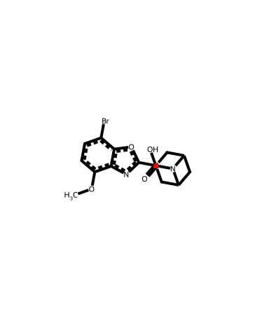 COc1ccc(Br)c2oc(N3CC4CC(C3)N4C(=O)O)nc12